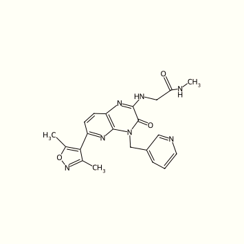 CNC(=O)CNc1nc2ccc(-c3c(C)noc3C)nc2n(Cc2cccnc2)c1=O